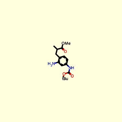 COC(=O)C(C)Cc1ccc(NC(=O)OC(C)(C)C)cc1N